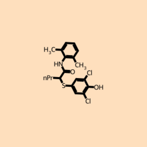 CCCC(Sc1cc(Cl)c(O)c(Cl)c1)C(=O)Nc1c(C)cccc1C